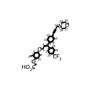 Cc1cc(OCC=C(c2ccc(C#CCN3CCOCC3)cc2)c2ccc(C(F)(F)F)cc2)ccc1OCC(=O)O